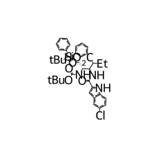 CCC(C(=O)O)[C@@H](NC(=O)c1cc2cc(Cl)ccc2[nH]1)[C@@H](CO[Si](c1ccccc1)(c1ccccc1)C(C)(C)C)NC(=O)OC(C)(C)C